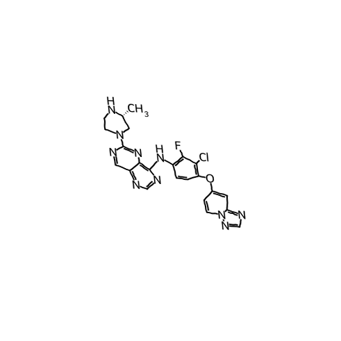 C[C@@H]1CN(c2ncc3ncnc(Nc4ccc(Oc5ccn6ncnc6c5)c(Cl)c4F)c3n2)CCN1